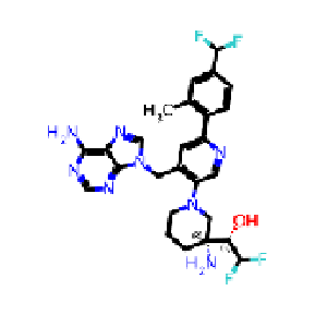 Cc1cc(C(F)F)ccc1-c1cc(Cn2cnc3c(N)ncnc32)c(N2CCC[C@](N)([C@H](O)C(F)F)C2)cn1